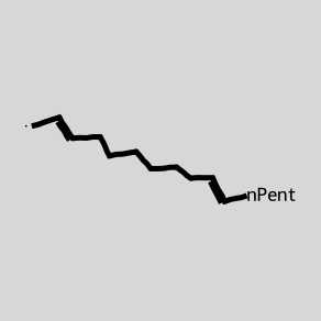 [CH2]C=CCCCCCCC=CCCCCC